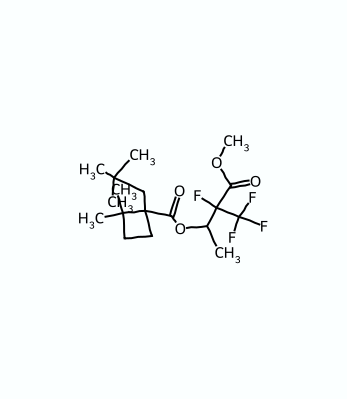 COC(=O)C(F)(C(C)OC(=O)C1(CC(C)(C)C)CCC1(C)C)C(F)(F)F